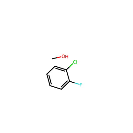 CO.Fc1ccccc1Cl